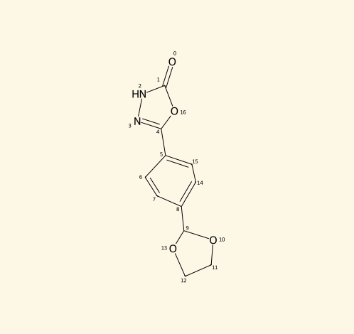 O=c1[nH]nc(-c2ccc(C3OCCO3)cc2)o1